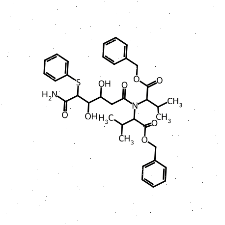 CC(C)C(C(=O)OCc1ccccc1)N(C(=O)CC(O)C(O)C(Sc1ccccc1)C(N)=O)C(C(=O)OCc1ccccc1)C(C)C